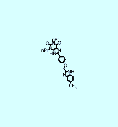 CCCn1c(=O)c2nc(-c3ccc(OCc4nc5cc(C(F)(F)F)ccc5[nH]4)cc3)[nH]c2n(CCC)c1=O